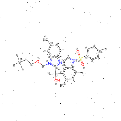 CCc1cc(C)c2c(ccn2S(=O)(=O)c2ccc(C)cc2)c1C(C)(O)c1nc2ccc(C#N)cc2n1COCC[Si](C)(C)C